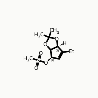 CCC1=C[C@@H](OS(C)(=O)=O)C2OC(C)(C)O[C@@H]12